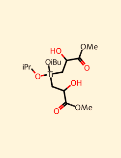 COC(=O)C(O)[CH2][Ti]([CH2]C(O)C(=O)OC)([O]CC(C)C)[O]C(C)C